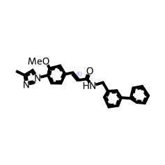 COc1cc(/C=C/C(=O)NCc2cccc(-c3ccccc3)c2)ccc1-n1cnc(C)c1